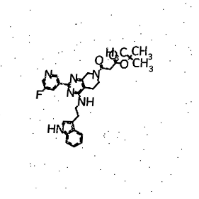 CC(C)(C)OC(=O)CC(=O)N1CCc2c(nc(-c3cncc(F)c3)nc2NCCc2c[nH]c3ccccc23)C1